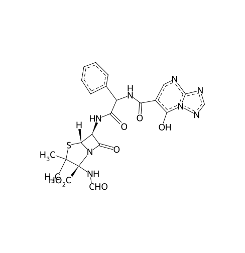 CC1(C)S[C@@H]2[C@@H](NC(=O)C(NC(=O)c3cnc4ncnn4c3O)c3ccccc3)C(=O)N2[C@@]1(NC=O)C(=O)O